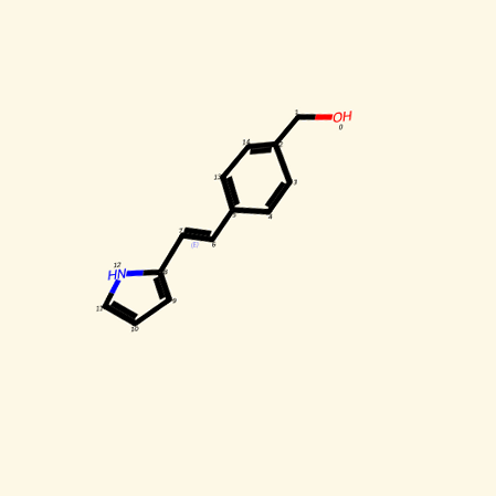 OCc1ccc(/C=C/c2ccc[nH]2)cc1